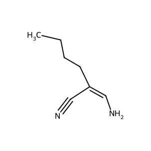 CCCCC(C#N)=CN